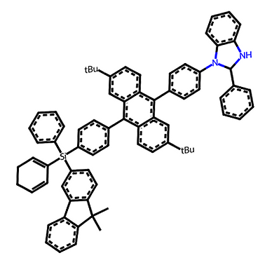 CC(C)(C)c1ccc2c(-c3ccc([Si](C4=CCCC=C4)(c4ccccc4)c4ccc5c(c4)-c4ccccc4C5(C)C)cc3)c3cc(C(C)(C)C)ccc3c(-c3ccc(N4c5ccccc5NC4c4ccccc4)cc3)c2c1